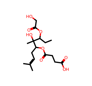 CCC(OC(=O)CO)C(C)(O)C(CC=C(C)C)OC(=O)CCC(=O)O